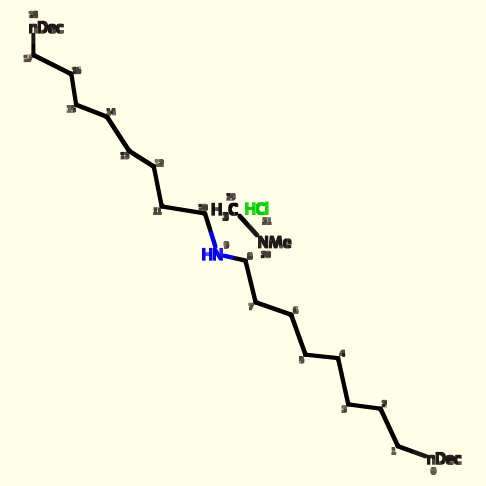 CCCCCCCCCCCCCCCCCCNCCCCCCCCCCCCCCCCCC.CNC.Cl